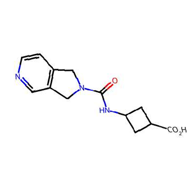 O=C(O)C1CC(NC(=O)N2Cc3ccncc3C2)C1